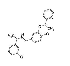 CC(Oc1cc(CN[C@H](C)c2cccc(Cl)c2)ccc1Cl)c1ccccn1